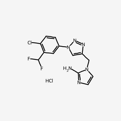 Cl.Nc1nccn1Cc1cn(-c2ccc(Cl)c(C(F)F)c2)nn1